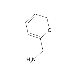 NCC1=CC=CCO1